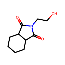 O=C1C2CCCCC2C(=O)N1CCO